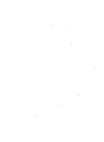 O=C(O)Nc1ccc(C(F)(F)F)cn1.O=S(=O)(c1ccc(C(F)(F)F)cc1)C1CC1